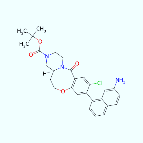 CC(C)(C)OC(=O)N1CCN2C(=O)c3cc(Cl)c(-c4cccc5ccc(N)cc45)cc3OCC[C@H]2C1